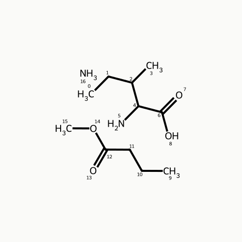 CCC(C)C(N)C(=O)O.CCCC(=O)OC.N